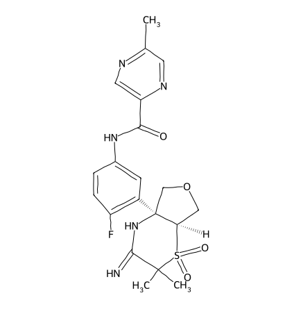 Cc1cnc(C(=O)Nc2ccc(F)c([C@]34COC[C@H]3S(=O)(=O)C(C)(C)C(=N)N4)c2)cn1